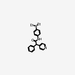 CCN(CC)c1ccc(NC(=O)C(c2ccccc2)c2ccncc2)cc1